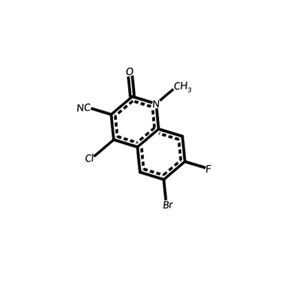 Cn1c(=O)c(C#N)c(Cl)c2cc(Br)c(F)cc21